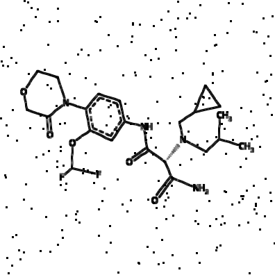 CC(C)CN(CC1CC1)[C@H](C(N)=O)C(=O)Nc1ccc(N2CCOCC2=O)c(OC(F)F)c1